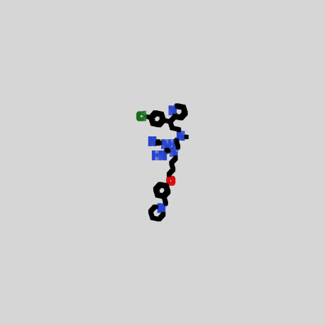 CN(CCC(c1ccc(Cl)cc1)c1ccccn1)CCN(CCCCOc1cccc(CN2CCCCC2)c1)C(=N)NC#N